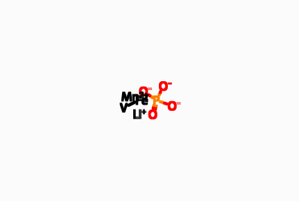 O=P([O-])([O-])[O-].[Li+].[Mn+2].[V][Fe]